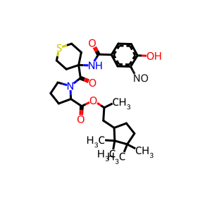 CC(CC1CCC(C)(C)C1(C)C)OC(=O)C1CCCN1C(=O)C1(NC(=O)c2ccc(O)c(N=O)c2)CCSCC1